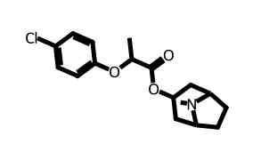 CC(Oc1ccc(Cl)cc1)C(=O)OC1CC2CCC(C1)N2C